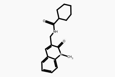 Cn1c(=O)c(CNC(=O)C2CCCCC2)cc2ccccc21